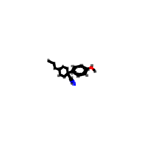 CCCC1CCC(C#N)(c2ccc(OC)cc2)CC1